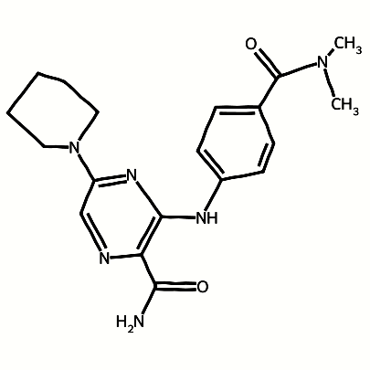 CN(C)C(=O)c1ccc(Nc2nc(N3CCCCC3)cnc2C(N)=O)cc1